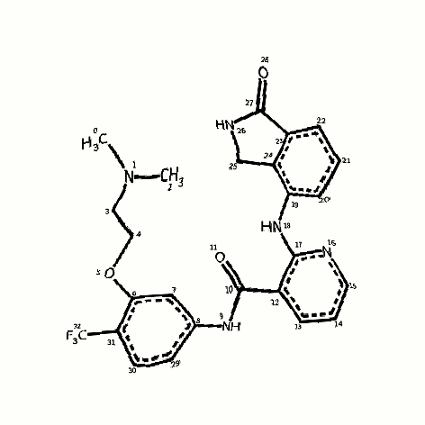 CN(C)CCOc1cc(NC(=O)c2cccnc2Nc2cccc3c2CNC3=O)ccc1C(F)(F)F